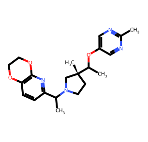 Cc1ncc(OC(C)[C@]2(C)CCN(C(C)c3ccc4c(n3)OCCO4)C2)cn1